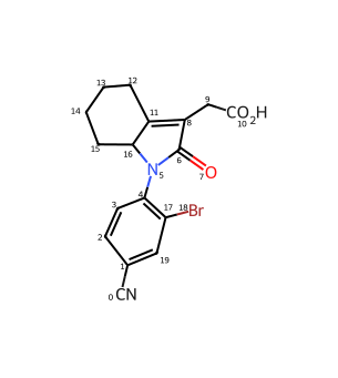 N#Cc1ccc(N2C(=O)C(CC(=O)O)=C3CCCCC32)c(Br)c1